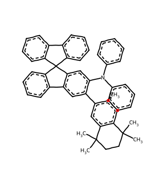 Cc1cc2c(cc1-c1cc3c(cc1N(c1ccccc1)c1ccccc1)C1(c4ccccc4-c4ccccc41)c1ccccc1-3)C(C)(C)CCC2(C)C